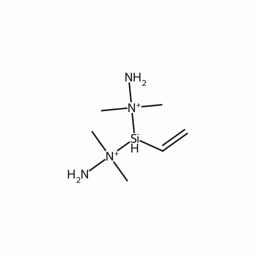 C=C[SiH]([N+](C)(C)N)[N+](C)(C)N